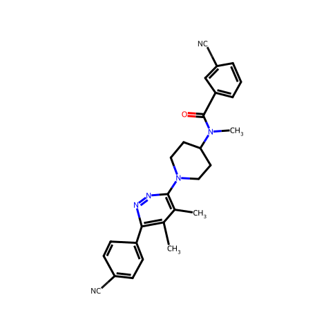 Cc1c(-c2ccc(C#N)cc2)nnc(N2CCC(N(C)C(=O)c3cccc(C#N)c3)CC2)c1C